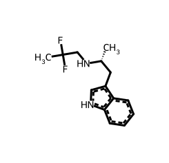 C[C@H](Cc1c[nH]c2ccccc12)NCC(C)(F)F